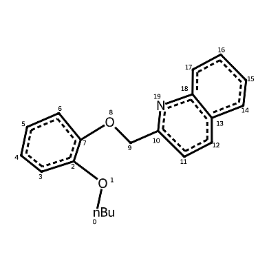 CCCCOc1ccccc1OCc1ccc2ccccc2n1